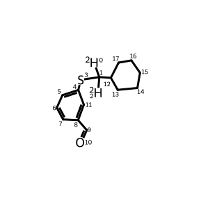 [2H]C([2H])(Sc1cccc(C=O)c1)C1CCCCC1